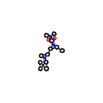 c1ccc(-c2ccc3c(c2)c2cc(-c4ccc5c(c4)c4ccccc4n5-c4ccc5c(c4)C4(c6ccccc6-c6ccccc64)c4ccccc4-5)ccc2n3-c2cc3c4c(c2)Oc2ccccc2N4c2ccccc2O3)cc1